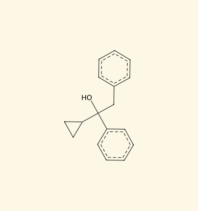 OC(Cc1ccccc1)(c1ccccc1)C1CC1